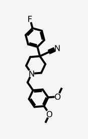 COc1ccc(CN2CCC(C#N)(c3ccc(F)cc3)CC2)cc1OC